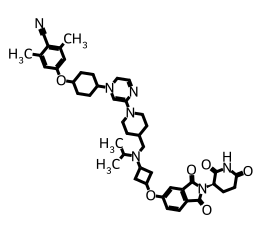 Cc1cc(OC2CCC(N3C=C(N4CCC(CN(C(C)C)C5CC(Oc6ccc7c(c6)C(=O)N([C@@H]6CCC(=O)NC6=O)C7=O)C5)CC4)N=CC3)CC2)cc(C)c1C#N